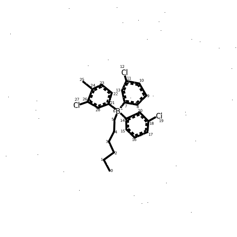 CCCCCC[B-](c1cccc(Cl)c1)(c1cccc(Cl)c1)c1ccc(C)c(Cl)c1